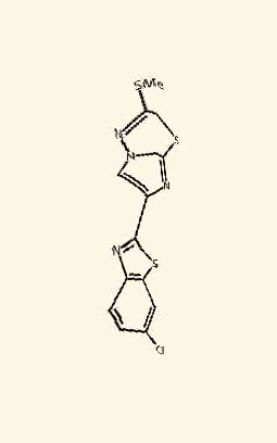 CSc1nn2cc(-c3nc4ccc(Cl)cc4s3)nc2s1